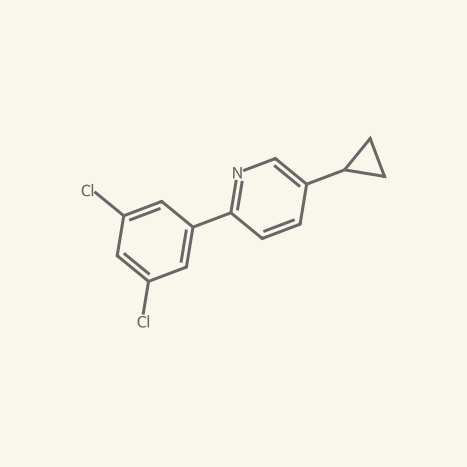 Clc1cc(Cl)cc(-c2ccc(C3CC3)cn2)c1